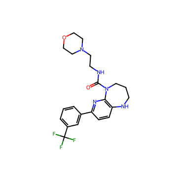 O=C(NCCN1CCOCC1)N1CCCNc2ccc(-c3cccc(C(F)(F)F)c3)nc21